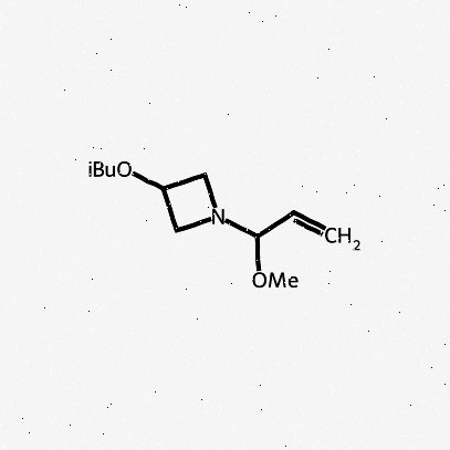 C=CC(OC)N1CC(OCC(C)C)C1